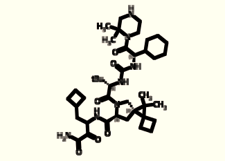 CC(C)(C)[C@H](NC(=O)N[C@H](C(=O)N1CCNCC1(C)C)C1CCCCC1)C(=O)N1C[C@]2(C[C@H]1C(=O)NC(CC1CCC1)C(=O)C(N)=O)C(C)(C)C21CCC1